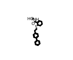 O=C(NO)C1=CCCCC1SCCc1ccc(-c2ccccc2)cc1